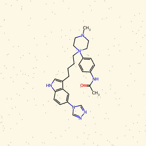 CC(=O)Nc1ccc([N+]2(CCCCc3c[nH]c4ccc(-n5cnnc5)cc34)CCN(C)CC2)cc1